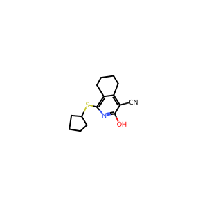 N#Cc1c(O)nc(SC2CCCC2)c2c1CCCC2